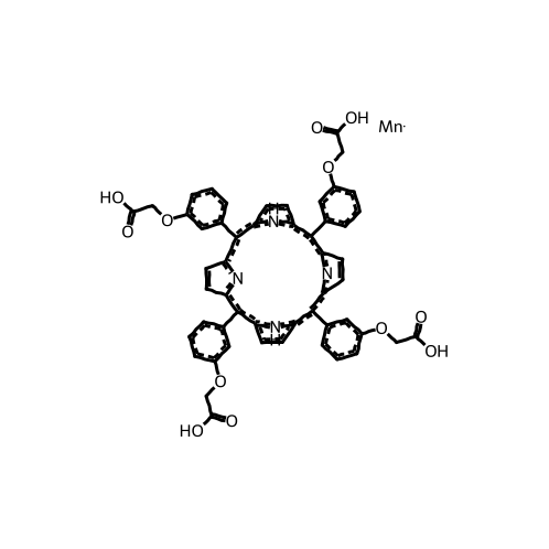 O=C(O)COc1cccc(-c2c3nc(c(-c4cccc(OCC(=O)O)c4)c4ccc([nH]4)c(-c4cccc(OCC(=O)O)c4)c4nc(c(-c5cccc(OCC(=O)O)c5)c5ccc2[nH]5)C=C4)C=C3)c1.[Mn]